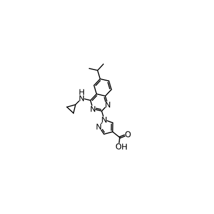 CC(C)c1ccc2nc(-n3cc(C(=O)O)cn3)nc(NC3CC3)c2c1